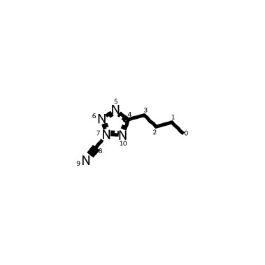 CCCCc1nnn(C#N)n1